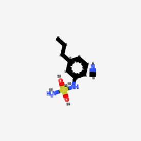 C#N.CCCc1cccc(NS(N)(=O)=O)c1